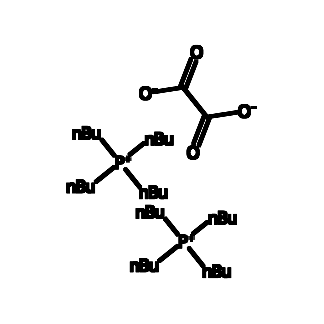 CCCC[P+](CCCC)(CCCC)CCCC.CCCC[P+](CCCC)(CCCC)CCCC.O=C([O-])C(=O)[O-]